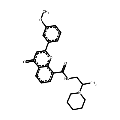 COc1cccc(-c2cc(=O)c3cccc(C(=O)NCC(C)N4CCCCC4)c3o2)c1